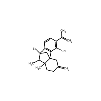 C=C1CCC2(C)C(C)C3(CC)CC2(C1)c1c3ccc(C(=C)C)c1C#N